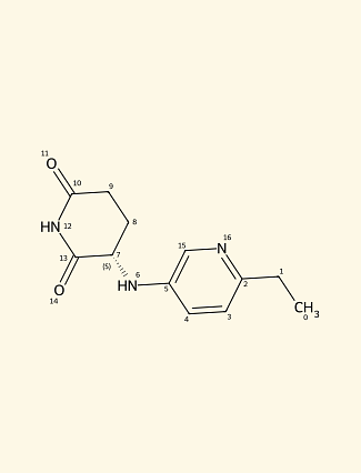 CCc1ccc(N[C@H]2CCC(=O)NC2=O)cn1